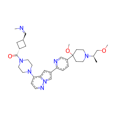 C/N=C\[C@H]1C[C@H](C(=O)N2CCN(c3ccnn4cc(-c5ccc(C6(OC)CCN([C@H](C)COC)CC6)cn5)cc34)CC2)C1